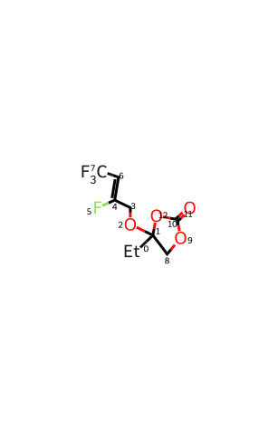 CCC1(OCC(F)=CC(F)(F)F)COC(=O)O1